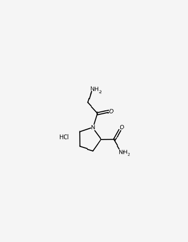 Cl.NCC(=O)N1CCCC1C(N)=O